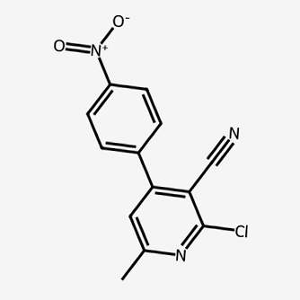 Cc1cc(-c2ccc([N+](=O)[O-])cc2)c(C#N)c(Cl)n1